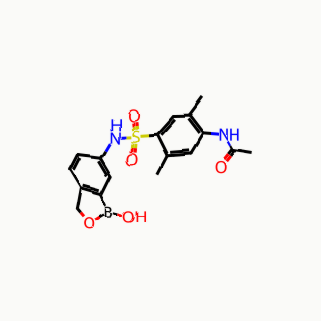 CC(=O)Nc1cc(C)c(S(=O)(=O)Nc2ccc3c(c2)B(O)OC3)cc1C